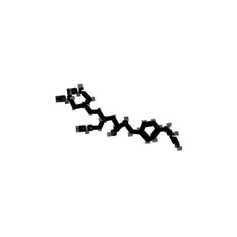 O=C(O)CN(CCN(CC(=O)O)CC(=O)OCc1ccc(N=C=S)cc1)CC(=O)O